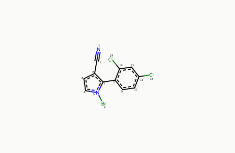 N#Cc1ccn(Br)c1-c1ccc(Cl)cc1Cl